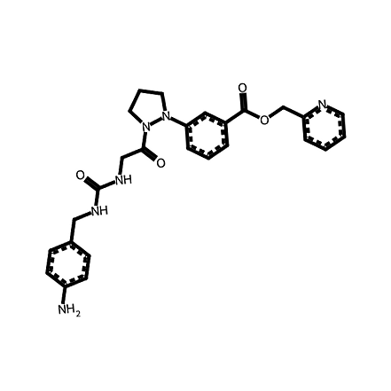 Nc1ccc(CNC(=O)NCC(=O)N2CCCN2c2cccc(C(=O)OCc3ccccn3)c2)cc1